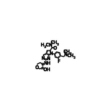 CN(C)Cc1ccc(-n2c(C(=O)N(C)C)cc3cnc(N[C@@H]4CCOC[C@H]4O)nc32)cc1F